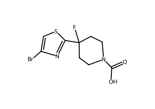 O=C(O)N1CCC(F)(c2nc(Br)cs2)CC1